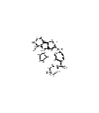 O=C(c1ccc(Nc2ncc3c4ccnc(F)c4n(C4CCCC4)c3n2)nc1)N1CCNCC1